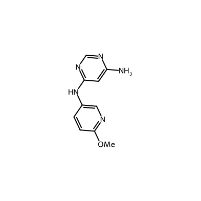 COc1ccc(Nc2cc(N)ncn2)cn1